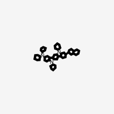 c1ccc(N(c2ccccc2)c2ccc3c(c2)c2cc4c(cc2n3-c2ccccc2)c2ccc(-c3ccc5ccccc5c3)cc2n4-c2ccccc2)cc1